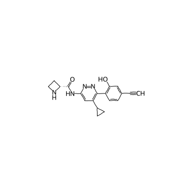 C#Cc1ccc(-c2nnc(NC(=O)[C@H]3CCN3)cc2C2CC2)c(O)c1